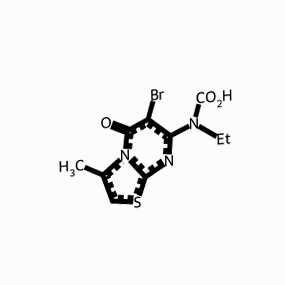 CCN(C(=O)O)c1nc2scc(C)n2c(=O)c1Br